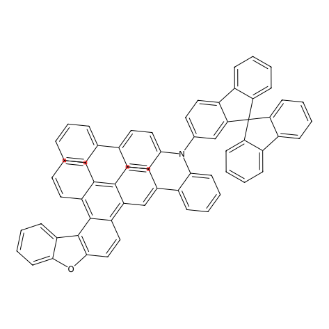 c1ccc(-c2ccc(N(c3ccc4c(c3)C3(c5ccccc5-c5ccccc53)c3ccccc3-4)c3ccccc3-c3ccc4c5ccccc5c5c(ccc6oc7ccccc7c65)c4c3)cc2)cc1